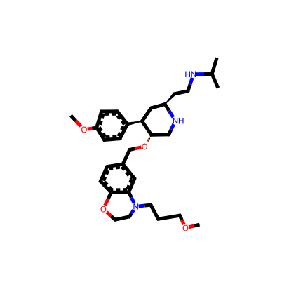 COCCCN1CCOc2ccc(CO[C@H]3CN[C@H](CCNC(C)C)C[C@@H]3c3ccc(OC)cc3)cc21